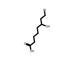 O=C(O)CCCCC(O)CCBr